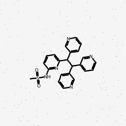 CS(=O)(=O)Nc1cccc(C(c2cccnc2)C(c2cccnc2)c2cccnc2)n1